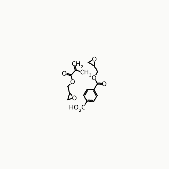 C=C(C)C(=O)OCC1CO1.O=C(O)c1ccc(C(=O)OCC2CO2)cc1